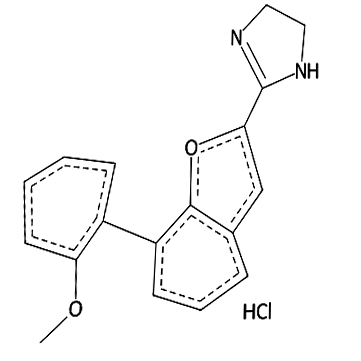 COc1ccccc1-c1cccc2cc(C3=NCCN3)oc12.Cl